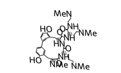 CNCCC[C@@H]1NC(=O)[C@@H](NC)Cc2cc(ccc2O)-c2ccc(O)c(c2)C[C@@H](C(=O)N[C@@H](CCNC)C(=O)NCCNC)NC1=O